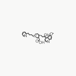 COc1ccc2nccc([C@@H](O)CC[C@@H]3CCN(CCCCc4ccccn4)C[C@@H]3CC(=O)O)c2c1